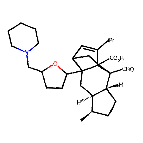 CC(C)C1=CC2CC3(C=O)[C@@H]4CC[C@@H](C)[C@H]4CC2(C2CCC(CN4CCCCC4)O2)C13C(=O)O